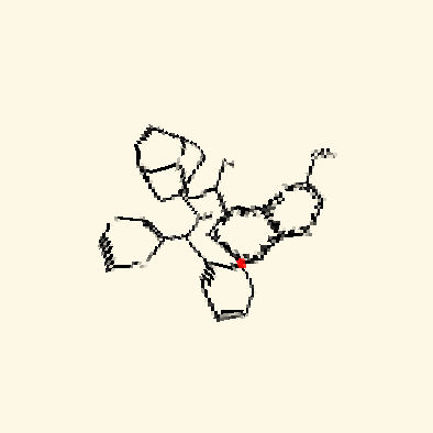 COc1cnc2cccc(C(O)CN3C4CCC3CC(NC(C3=CC=CCC3)C3=COC=CO3)C4)c2n1